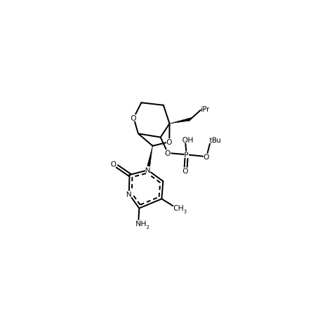 Cc1cn([C@@H]2O[C@@]3(CC(C)C)CCOC2C3OP(=O)(O)OC(C)(C)C)c(=O)nc1N